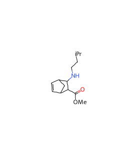 COC(=O)C1C2C=CC(C2)C1NCCC(C)C